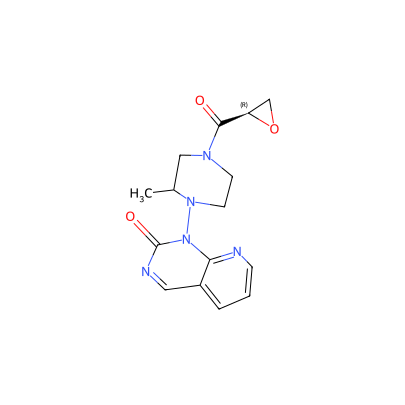 CC1CN(C(=O)[C@H]2CO2)CCN1n1c(=O)ncc2cccnc21